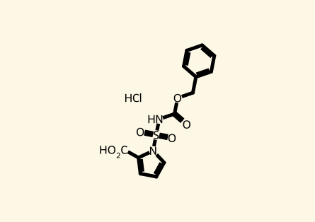 Cl.O=C(NS(=O)(=O)n1cccc1C(=O)O)OCc1ccccc1